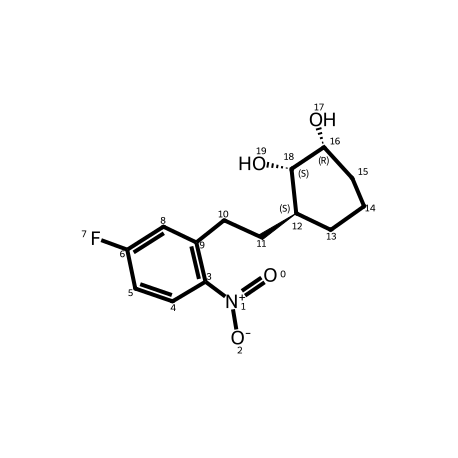 O=[N+]([O-])c1ccc(F)cc1CC[C@@H]1CCC[C@@H](O)[C@H]1O